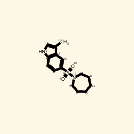 Cc1c[nH]c2ccc(S(=O)(=O)N3CCCCCC3)cc12